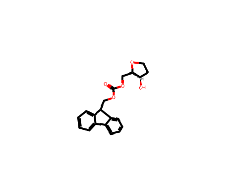 O=C(OCC1c2ccccc2-c2ccccc21)OCC1OCC[C@H]1O